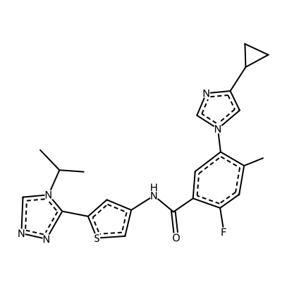 Cc1cc(F)c(C(=O)Nc2csc(-c3nncn3C(C)C)c2)cc1-n1cnc(C2CC2)c1